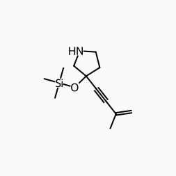 C=C(C)C#CC1(O[Si](C)(C)C)CCNC1